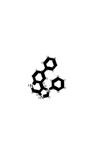 c1ccc(-c2ccc3ncc4ncn(-c5ccccc5)c4c3c2)cc1